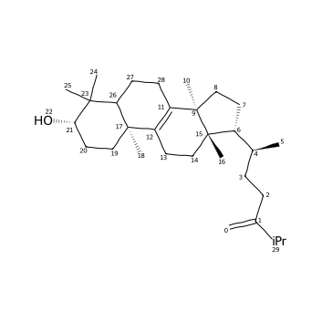 C=C(CC[C@H](C)[C@H]1CC[C@]2(C)C3=C(CC[C@@]12C)[C@@]1(C)CC[C@H](O)C(C)(C)C1CC3)C(C)C